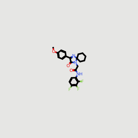 COc1ccc(C2=NC3(CCCCC3)N(CC(=O)Nc3ccc(F)c(F)c3F)C2=O)cc1